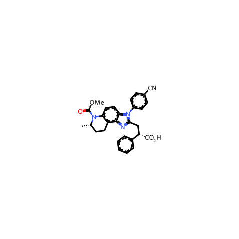 COC(=O)N1c2ccc3c(nc(C[C@H](C(=O)O)c4ccccc4)n3-c3ccc(C#N)cc3)c2CC[C@@H]1C